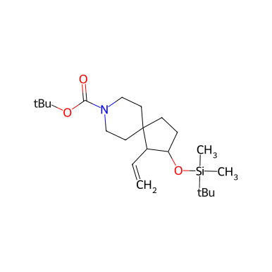 C=CC1C(O[Si](C)(C)C(C)(C)C)CCC12CCN(C(=O)OC(C)(C)C)CC2